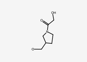 [O]CC1CCN(C(=O)CO)C1